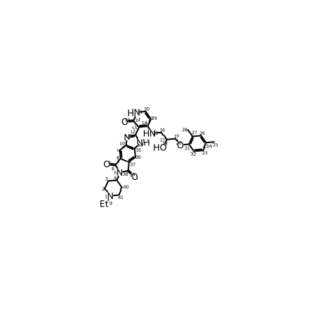 CCN1CCC(N2C(=O)c3cc4nc(-c5c(NCC(O)COc6ccc(C)cc6C)cc[nH]c5=O)[nH]c4cc3C2=O)CC1